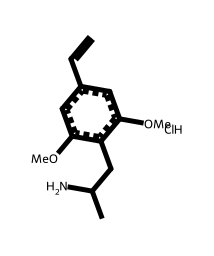 C=Cc1cc(OC)c(CC(C)N)c(OC)c1.Cl